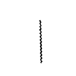 C=CCCCC=CCCCCCCCCCCCCCCCCCCCC